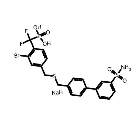 NS(=O)(=O)c1cccc(-c2ccc(CSCc3ccc(C(F)(F)P(=O)(O)O)c(Br)c3)cc2)c1.[NaH]